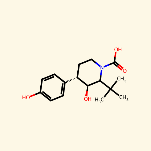 CC(C)(C)C1[C@@H](O)[C@H](c2ccc(O)cc2)CCN1C(=O)O